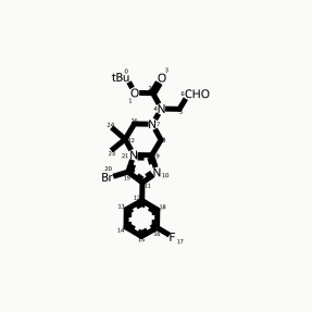 CC(C)(C)OC(=O)N(CC=O)N1Cc2nc(-c3cccc(F)c3)c(Br)n2C(C)(C)C1